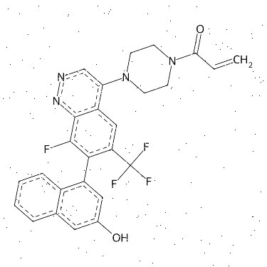 C=CC(=O)N1CCN(c2cnnc3c(F)c(-c4cc(O)cc5ccccc45)c(C(F)(F)F)cc23)CC1